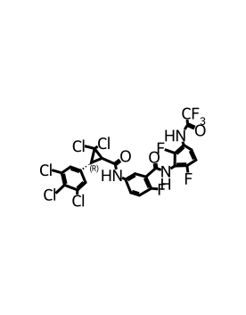 O=C(Nc1c(F)ccc(NC(=O)C(F)(F)F)c1F)c1cc(NC(=O)C2[C@H](c3cc(Cl)c(Cl)c(Cl)c3)C2(Cl)Cl)ccc1F